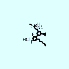 C=CCCCCc1cc(F)cc(F)c1-c1cc(C2CC2)c(F)c([C@@H](N)CC(=O)OCC)c1.Cl